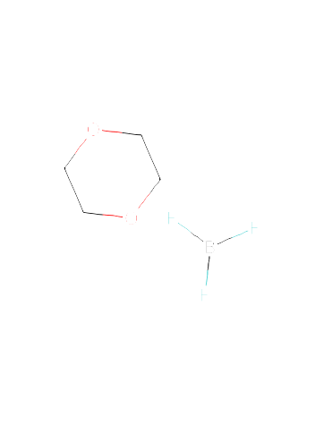 C1COCCO1.FB(F)F